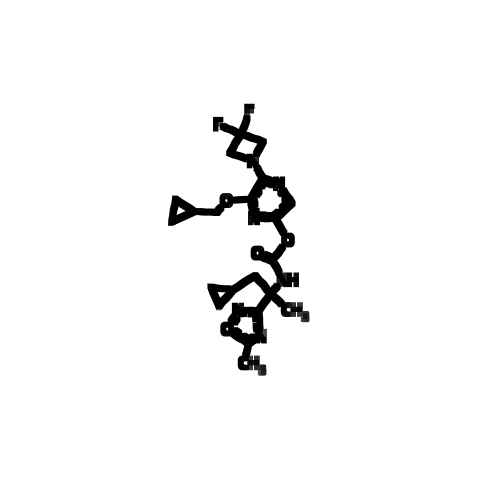 Cc1nc(C(C)(CC2CC2)NC(=O)Oc2cnc(N3CC(F)(F)C3)c(OCC3CC3)n2)no1